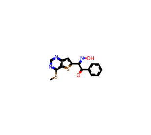 CSc1ncnc2cc(C(=NO)C(=O)c3ccccc3)sc12